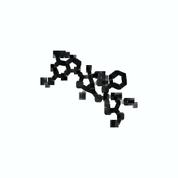 CNc1nc(N)nc2c1ncn2[C@@H]1O[C@@H]2C(O[P@@](=S)(N[C@H](C)C(=O)OC(C)C)Oc3ccccc3)[C@]2(O)[C@@]1(C)F